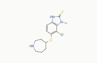 Cn1c(=S)[nH]c2ccc(SC3CCCNCC3)c(Cl)c21